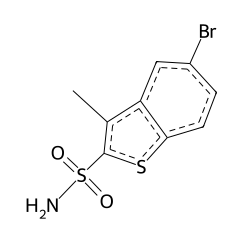 Cc1c(S(N)(=O)=O)sc2ccc(Br)cc12